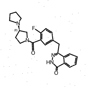 O=C(c1cc(Cc2n[nH]c(=O)c3ccccc23)ccc1F)N1CC[C@@H](N2CCCC2)C1